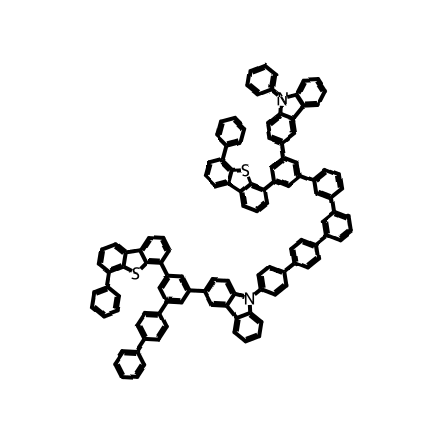 c1ccc(-c2ccc(-c3cc(-c4ccc5c(c4)c4ccccc4n5-c4ccc(-c5ccc(-c6cccc(-c7cccc(-c8cc(-c9ccc%10c(c9)c9ccccc9n%10-c9ccccc9)cc(-c9cccc%10c9sc9c(-c%11ccccc%11)cccc9%10)c8)c7)c6)cc5)cc4)cc(-c4cccc5c4sc4c(-c6ccccc6)cccc45)c3)cc2)cc1